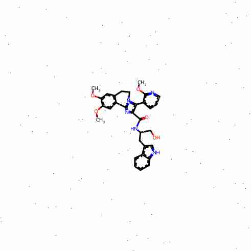 COc1cc2c(cc1OC)-c1nc(C(=O)NC(CO)Cc3c[nH]c4ccccc34)c(-c3cccnc3OC)n1CC2